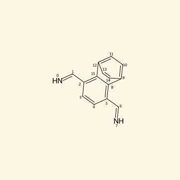 N=Cc1ccc(C=N)c2c3ccc(cc3)c12